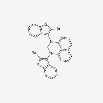 Brc1sc2ccccc2c1N1CN(c2c(Br)sc3ccccc23)c2cccc3cccc1c23